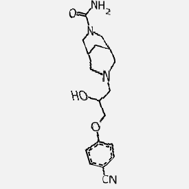 N#Cc1ccc(OCC(O)CN2CC3CC(C2)CN(C(N)=O)C3)cc1